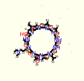 C/C=C/C[C@@H](C)[C@@H](O)[C@H]1C(=O)N[C@H](CC)C(=O)N(C)[C@H](SCCCN(CC)CC)C(=O)N(C)[C@@H](CC(C)(C)OC)C(=O)N[C@H](C(C)C)C(=O)N(C)[C@H](CCC(C)C)C(=O)N[C@H](C)C(=O)N[C@@H](C)C(=O)N(C)[C@@H](CC(C)C)C(=O)N(C)[C@H](CC(C)C)C(=O)N(C)[C@H](C(C)C)C(=O)N1C